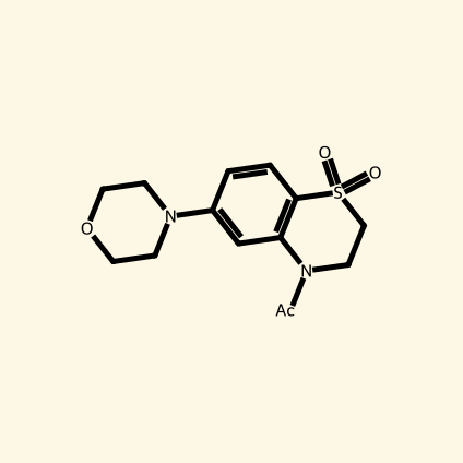 CC(=O)N1CCS(=O)(=O)c2ccc(N3CCOCC3)cc21